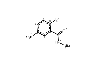 CC(C)(C)NC(=O)c1cc([N+](=O)[O-])ccc1Br